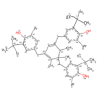 CCC(C)(C)c1cc(CC2=CC(Cc3cc(C(C)C)c(O)c(C(C)(C)CC)c3)=C(C)C(C)(Cc3cc(C(C)C)c(O)c(C(C)(C)CC)c3)C2C)cc(C(C)C)c1O